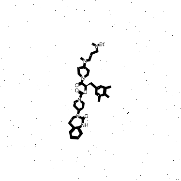 CCN(C)CCCN(C)C1CCN(C(=O)[C@@H](Cc2cc(C)c(C)c(C)c2)OC(=O)N2CCC(N3CCc4ccccc4NC3=O)CC2)CC1